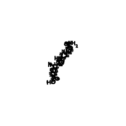 N#Cc1cc(-c2ncnc(Nc3ccc(N4CCO[C@H](C(N)=O)C4)cc3)n2)ccc1O[C@H]1CCN(C(=O)CO)C[C@H]1F